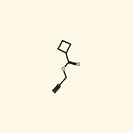 C#CCOC(=O)C1CCC1